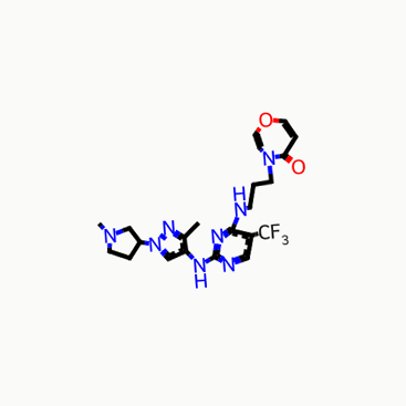 Cc1nn(C2CCN(C)C2)cc1Nc1ncc(C(F)(F)F)c(NCCCN2C=COC=CC2=O)n1